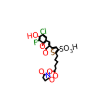 O=C(CCCCCc1sc(-c2cc3cc(Cl)c(O)c(F)c3oc2=O)cc1S(=O)(=O)O)ON1C(=O)CCC1=O